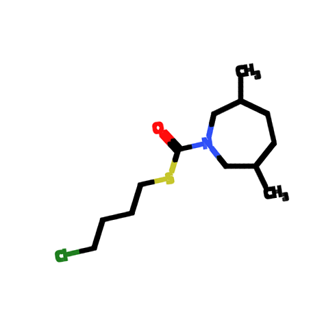 CC1CCC(C)CN(C(=O)SCCCCCl)C1